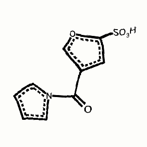 O=C(c1coc(S(=O)(=O)O)c1)n1cccc1